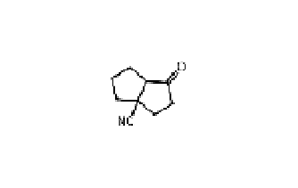 N#CC12CCCC1C(=O)CC2